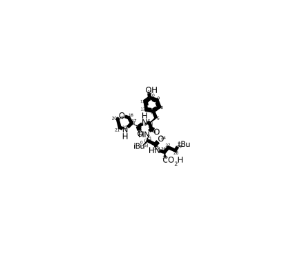 CC[C@H](C)[C@H](NC(=O)[C@H](Cc1ccc(O)cc1)NC(=O)[C@H]1COCCN1)C(=O)N[C@@H](CCC(C)(C)C)C(=O)O